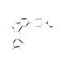 C=CC(=O)N1CCN(c2ccc3ncnc(Nc4ccc(Cl)c(Cl)c4F)c3c2)CC1